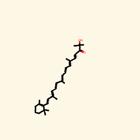 CC1=C(/C=C/C(C)=C/C=C/C(C)=C/C=C/C=C(C)/C=C/C(=O)C(C)(C)O)C(C)(C)CCC1